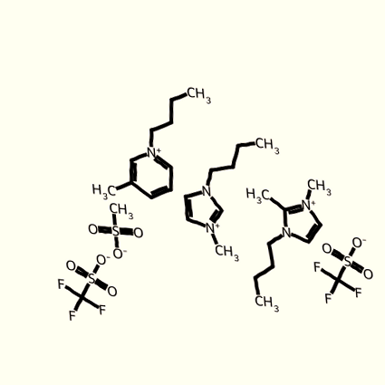 CCCC[n+]1cccc(C)c1.CCCCn1cc[n+](C)c1.CCCCn1cc[n+](C)c1C.CS(=O)(=O)[O-].O=S(=O)([O-])C(F)(F)F.O=S(=O)([O-])C(F)(F)F